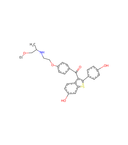 CCOCC(C)NCCOc1ccc(C(=O)c2c(-c3ccc(O)cc3)sc3cc(O)ccc23)cc1